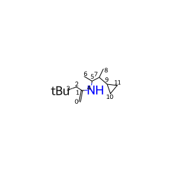 C=C(CC(C)(C)C)NC(C)C(C)C1CC1